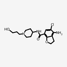 Nc1c(Cl)cc(C(=O)NC2CCN(CCCO)CC2)c2c1CCO2